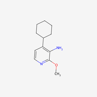 COc1nccc(C2CCCCC2)c1N